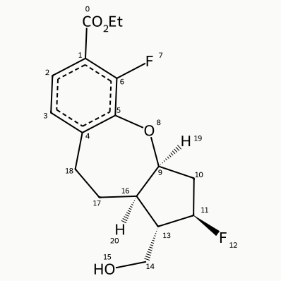 CCOC(=O)c1ccc2c(c1F)O[C@H]1C[C@@H](F)[C@H](CO)[C@H]1CC2